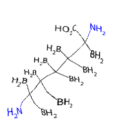 BC(B)(N)C(B)(B)C(B)(B)C(B)(B)C(B)(N)C(=O)O